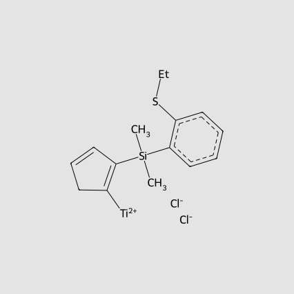 CCSc1ccccc1[Si](C)(C)C1=[C]([Ti+2])CC=C1.[Cl-].[Cl-]